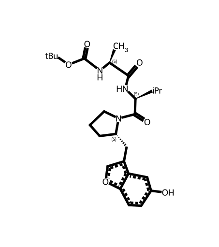 CC(C)[C@H](NC(=O)[C@H](C)NC(=O)OC(C)(C)C)C(=O)N1CCC[C@H]1Cc1coc2ccc(O)cc12